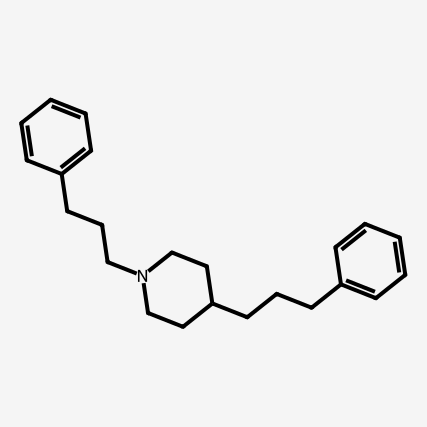 c1ccc(CCCC2CCN(CCCc3ccccc3)CC2)cc1